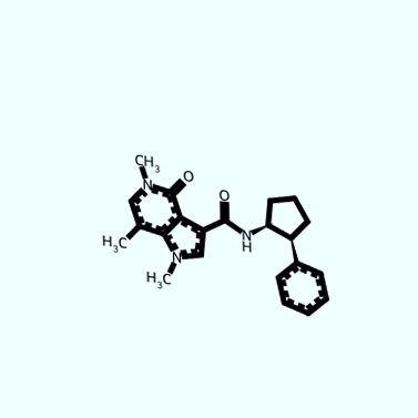 Cc1cn(C)c(=O)c2c(C(=O)N[C@H]3CCC[C@H]3c3ccccc3)cn(C)c12